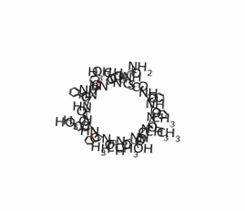 CCCC[C@H]1C(=O)N(C)CC(=O)N[C@@H](CC(=O)O)C(=O)N[C@@H](C(C)C)C(=O)N[C@@H](Cc2ccccc2)C(=O)N[C@@H](Cc2ccc(O)cc2)C(=O)N(C)CC(=O)N[C@@H](Cc2c[nH]c3ccccc23)C(=O)N[C@@H](Cc2ccc(O)cc2)C(=O)N[C@@H](CC(C)C)C(=O)N[C@H](C(=O)NCC(N)=O)CSCC(=O)N[C@@H](Cc2ccccc2)C(=O)N[C@@H](Cc2ccccc2)C(=O)N1C